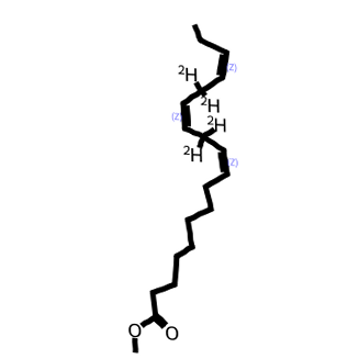 [2H]C([2H])(/C=C\CC)/C=C\C([2H])([2H])/C=C\CCCCCCCC(=O)OC